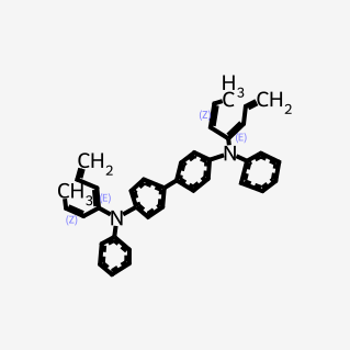 C=C/C=C(\C=C/C)N(c1ccccc1)c1ccc(-c2ccc(N(C(/C=C\C)=C/C=C)c3ccccc3)cc2)cc1